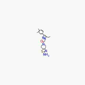 CCc1cc(-c2ccc(C)c(C)c2)nn1CC(=O)N1CCc2nc(N)sc2CC1